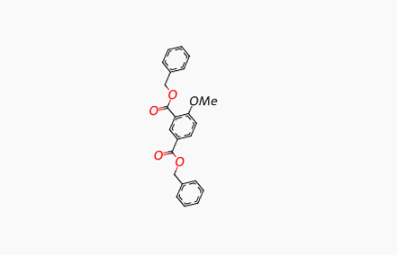 COc1ccc(C(=O)OCc2ccccc2)cc1C(=O)OCc1ccccc1